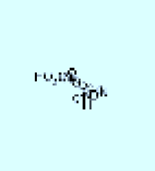 O=C(NC(c1ccccc1)c1cccc(OCc2nc(C(=O)O)co2)c1)OC1CN2CCC1CC2